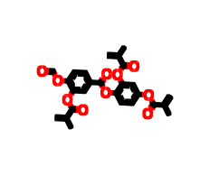 C=C(C)C(=O)Oc1ccc(OC(=O)c2ccc(OC=O)c(OC(=O)C(=C)C)c2)c(OC(=O)C(=C)C)c1